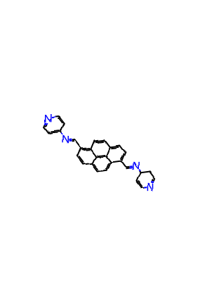 C1=CC(/N=C/c2ccc3ccc4c(/C=N/c5ccncc5)ccc5ccc2c3c54)CC=N1